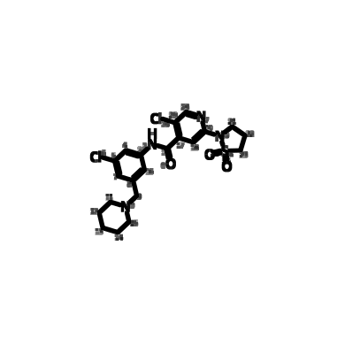 O=C(Nc1cc(Cl)cc(CN2CCCCC2)c1)c1cc(N2CCCS2(=O)=O)ncc1Cl